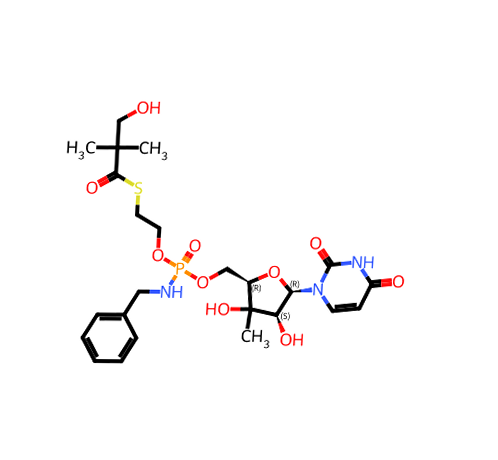 CC(C)(CO)C(=O)SCCOP(=O)(NCc1ccccc1)OC[C@H]1O[C@@H](n2ccc(=O)[nH]c2=O)[C@@H](O)C1(C)O